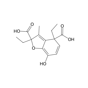 CCC1(C(=O)O)C=CC(O)=C2OC(CC)(C(=O)O)C(C)=C21